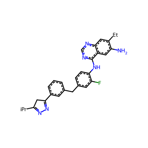 CCc1cc2ncnc(Nc3ccc(Cc4cccc(C5=NN=C(C(C)C)C5)c4)cc3F)c2cc1N